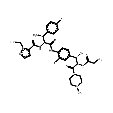 CCC(=O)N[C@@H](C(=O)N1CCN(C)CC1)[C@@H](C)c1ccc(NC(=O)[C@@H](NC(=O)c2ccnn2CC)[C@@H](C)c2ccc(F)cc2)c(F)c1